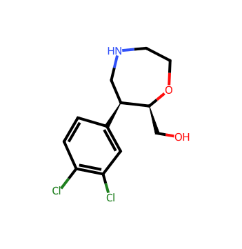 OC[C@@H]1OCCNC[C@@H]1c1ccc(Cl)c(Cl)c1